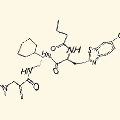 C=C(CN(C)C)C(=O)NC[C@@H](NC(=O)[C@H](Cc1nc2ccc(Cl)cc2s1)NC(=O)CCC)C1CCCCC1